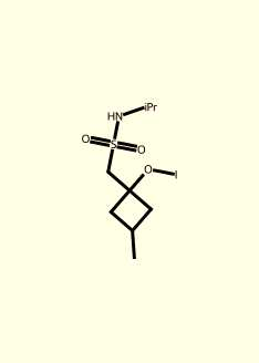 CC1CC(CS(=O)(=O)NC(C)C)(OI)C1